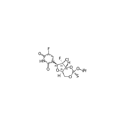 CC(C)OP1(=S)OC[C@H]2O[C@@H](n3cc(F)c(=O)[nH]c3=O)[C@@](F)(Cl)[C@@H]2O1